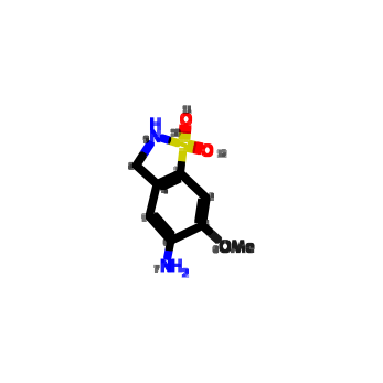 COc1cc2c(cc1N)CNS2(=O)=O